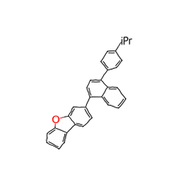 CC(C)c1ccc(-c2ccc(-c3ccc4c(c3)oc3ccccc34)c3ccccc23)cc1